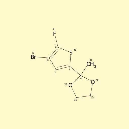 CC1(c2cc(Br)c(F)s2)OCCO1